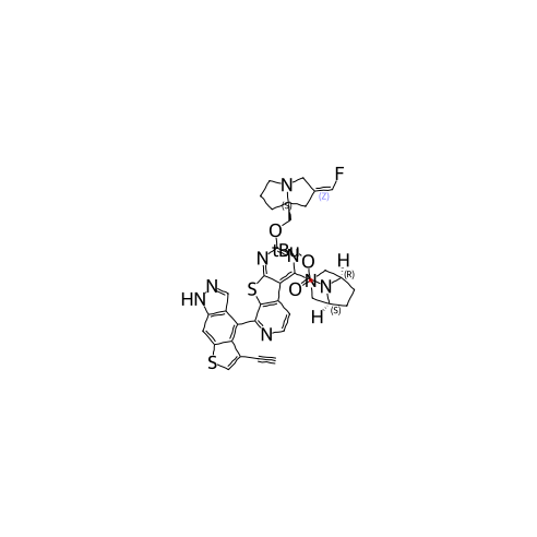 C#Cc1csc2cc3[nH]ncc3c(-c3nccc4c3sc3nc(OC[C@@]56CCCN5C/C(=C\F)C6)nc(N5C[C@H]6CC[C@@H](C5)N6C(=O)OC(C)(C)C)c34)c12